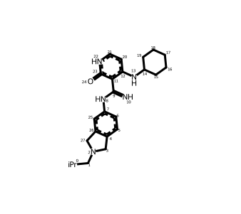 CC(C)CN1Cc2ccc(NC(=N)c3c(NC4CCCCC4)cc[nH]c3=O)cc2C1